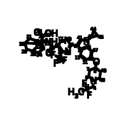 CC(F)(F)CN1CCC(Oc2ccc3c(-c4ncc(C(=O)NC5(C(=O)O)C6CC7CC(C6)CC5C7)c(C(F)(F)F)n4)cn(C4CC4)c3c2)CC1